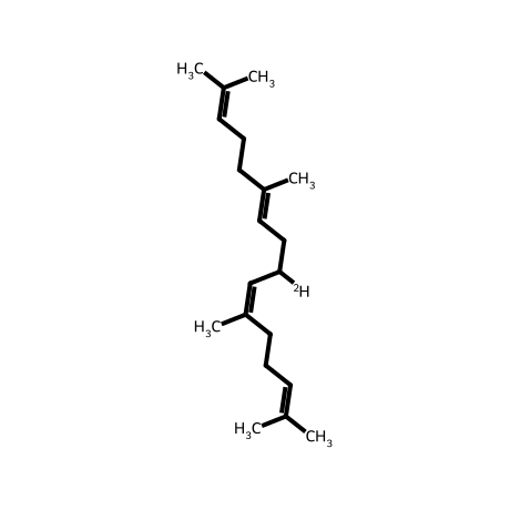 [2H]C(C=C(C)CCC=C(C)C)C/C=C(\C)CCC=C(C)C